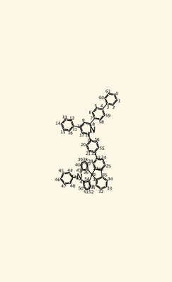 c1ccc(-c2ccc(-c3cc(-c4ccccc4)cc(-c4ccc(-c5ccc6c(c5)C5(c7ccccc7-6)c6ccccc6N(c6ccccc6)c6ccccc65)cc4)n3)cc2)cc1